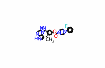 CC[C@@H]1C[C@H](OC(=O)N2CCN(c3ccccc3F)CC2)C[C@@H]1c1nnc2n1C1C=CNC1N=C2